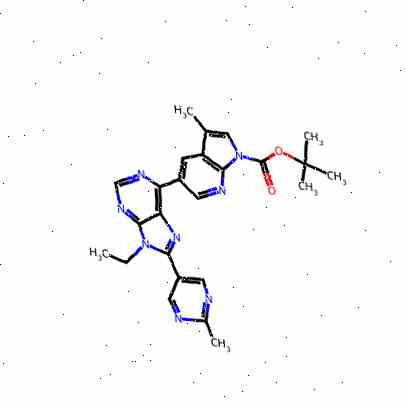 CCn1c(-c2cnc(C)nc2)nc2c(-c3cnc4c(c3)c(C)cn4C(=O)OC(C)(C)C)ncnc21